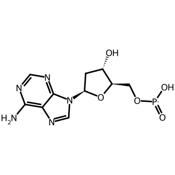 Nc1ncnc2c1ncn2[C@H]1C[C@H](O)[C@@H](CO[P](=O)O)O1